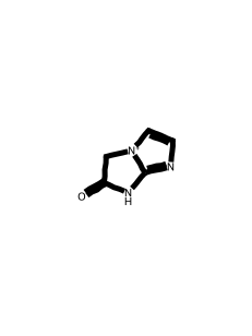 O=C1C[N+]2C=CN=C2N1